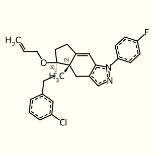 C=CCO[C@@]1(CCc2cccc(Cl)c2)CCC2=Cc3c(cnn3-c3ccc(F)cc3)C[C@@]21C